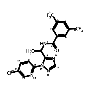 CC(NC(=O)c1cc(C(F)(F)F)cc(C(F)(F)F)c1)c1ncnn1-c1ccc(Cl)cn1